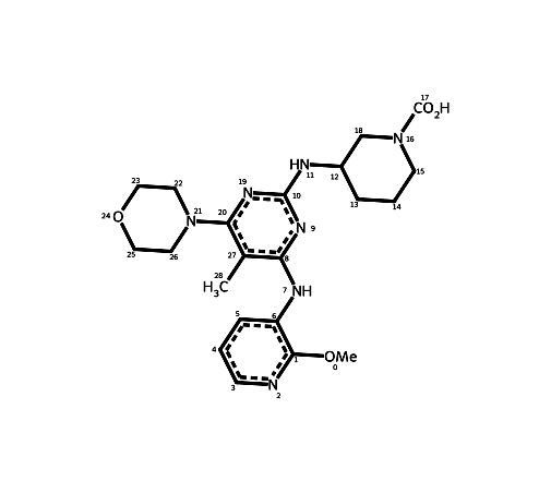 COc1ncccc1Nc1nc(NC2CCCN(C(=O)O)C2)nc(N2CCOCC2)c1C